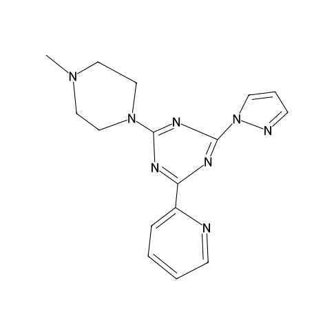 CN1CCN(c2nc(-c3ccccn3)nc(-n3cccn3)n2)CC1